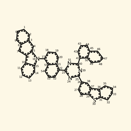 c1ccc2cc3c(cc2c1)c1ccccc1n3-c1cccc2c(-c3nc(-c4ccc5sc6ccccc6c5c4)nc(-c4cccc5ccccc45)n3)cccc12